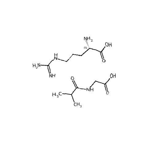 CC(C)C(=O)NCC(=O)O.N=C(N)NCCC[C@H](N)C(=O)O